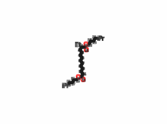 CCC(CCCCCCCCCCC(=O)OCCCCC(C)C)C(=O)OCCCCC(C)C